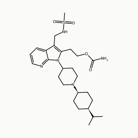 CC(C)[C@H]1CC[C@@H](N2CCC(n3c(CCOC(N)=O)c(CNS(C)(=O)=O)c4cccnc43)CC2)CC1